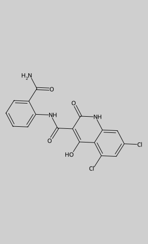 NC(=O)c1ccccc1NC(=O)c1c(O)c2c(Cl)cc(Cl)cc2[nH]c1=O